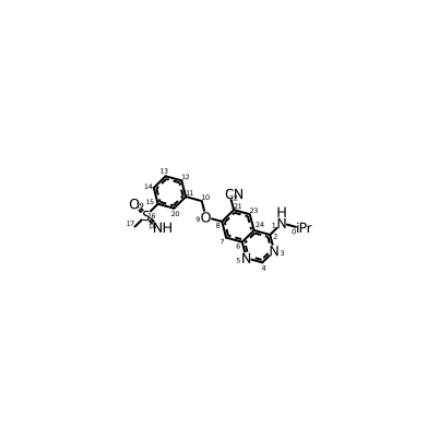 CC(C)Nc1ncnc2cc(OCc3cccc(S(C)(=N)=O)c3)c(C#N)cc12